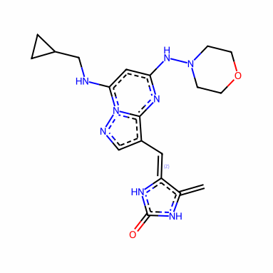 C=c1[nH]c(=O)[nH]/c1=C\c1cnn2c(NCC3CC3)cc(NN3CCOCC3)nc12